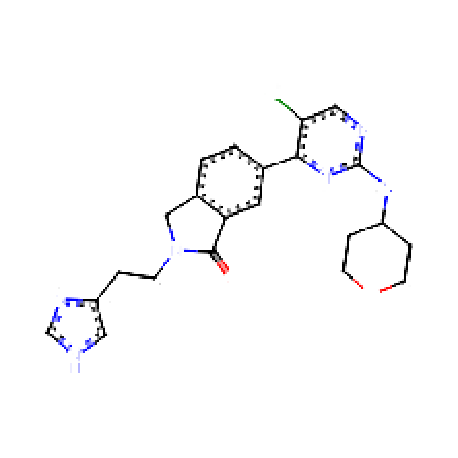 O=C1c2cc(-c3nc(NC4CCOCC4)ncc3Cl)ccc2CN1CCc1c[nH]cn1